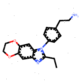 CCc1nc2cc3c(cc2n1-c1ccc(CCN)cc1)OCCO3